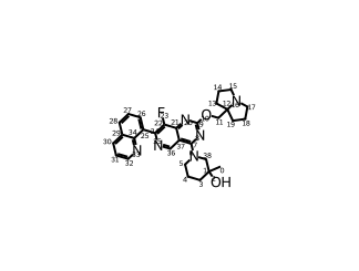 CC1(O)CCCN(c2nc(OCC34CCCN3CCC4)nc3c(F)c(-c4cccc5cccnc45)ncc23)C1